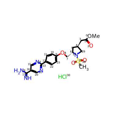 COC(=O)C[C@@H]1C[C@@H](COc2ccc(-c3ncc(C(=N)N)cn3)cc2)N(S(C)(=O)=O)C1.Cl